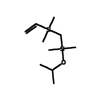 C=C[Si](C)(C)C[Si](C)(C)OC(C)C